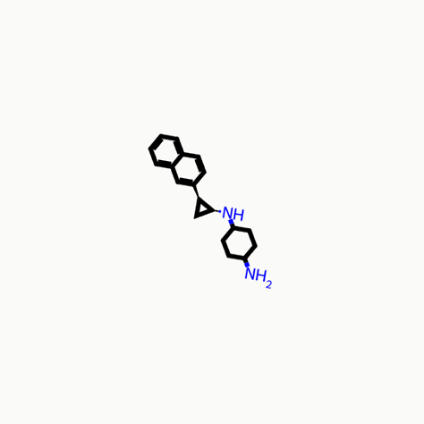 NC1CCC(N[C@@H]2C[C@H]2c2ccc3ccccc3c2)CC1